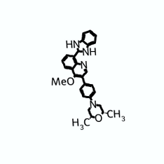 COc1c(-c2ccc(N3C[C@@H](C)O[C@@H](C)C3)cc2)cnc2c(C3Nc4ccccc4N3)cccc12